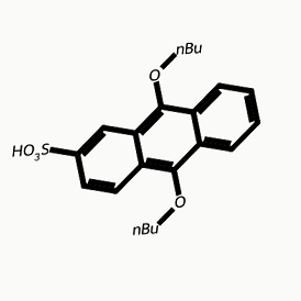 CCCCOc1c2ccccc2c(OCCCC)c2cc(S(=O)(=O)O)ccc12